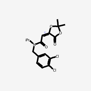 CC(C)N(Cc1ccc(Cl)c(Cl)c1)C(=O)/C=C1/OC(C)(C)OC1=O